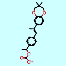 CC(=Cc1ccc(C(C)OC(=O)O)cc1)c1ccc2c(c1)OCC(C)(C)CO2